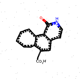 O=C(O)c1cc2cc[nH]c(=O)c2c2ccccc12